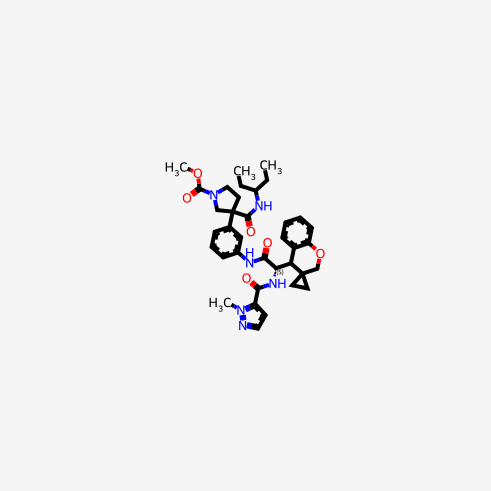 CCC(CC)NC(=O)C1(c2cccc(NC(=O)[C@@H](NC(=O)c3ccnn3C)C3c4ccccc4OCC34CC4)c2)CCN(C(=O)OC)C1